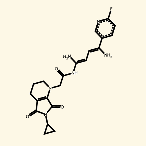 N/C(=C\C=C(/N)NC(=O)CN1CCCC2=C1C(=O)N(C1CC1)C2=O)c1ccc(F)nc1